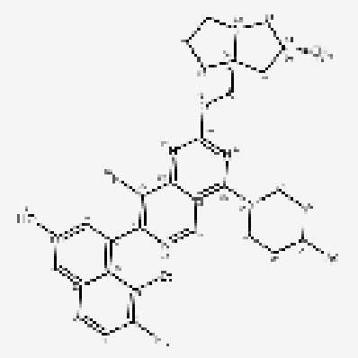 CCc1c(F)ccc2cc(O)cc(-c3ncc4c(N5CCC(C(C)=O)CC5)nc(OC[C@@]56CCCN5C[C@H](C)C6)nc4c3F)c12